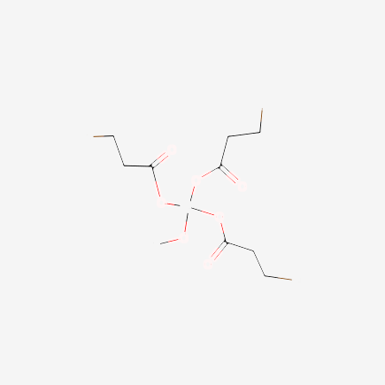 CC(C)[O][Ti]([O]C(=O)CCS)([O]C(=O)CCS)[O]C(=O)CCS